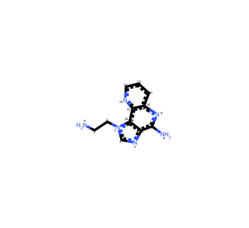 NCCn1cnc2c(N)nc3cccnc3c21